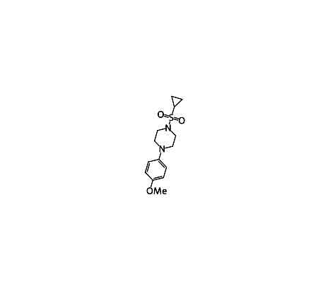 [CH2]Oc1ccc(N2CCN(S(=O)(=O)C3CC3)CC2)cc1